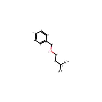 CCC(CC)CCOCc1ccccc1